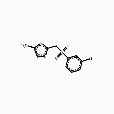 Cc1nnc(CS(=O)(=O)c2cccc(Cl)c2)o1